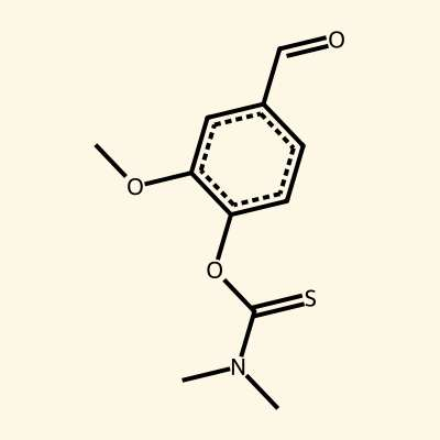 COc1cc(C=O)ccc1OC(=S)N(C)C